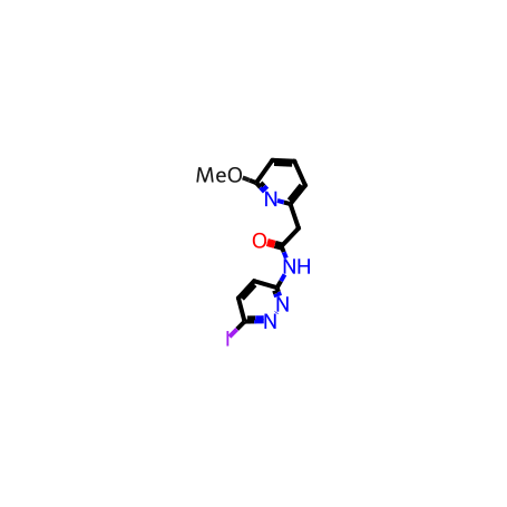 COc1cccc(CC(=O)Nc2ccc(I)nn2)n1